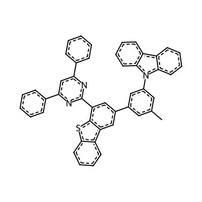 Cc1cc(-c2cc(-c3nc(-c4ccccc4)cc(-c4ccccc4)n3)c3sc4ccccc4c3c2)cc(-n2c3ccccc3c3ccccc32)c1